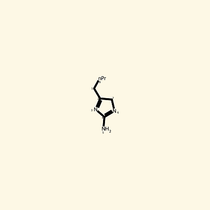 CCCCC1=NC(N)=NC1